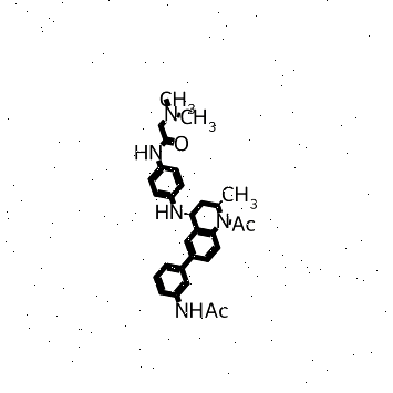 CC(=O)Nc1cccc(-c2ccc3c(c2)[C@H](Nc2ccc(NC(=O)CN(C)C)cc2)C[C@H](C)N3C(C)=O)c1